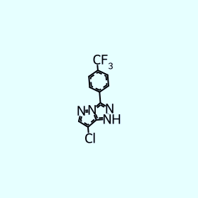 FC(F)(F)c1ccc(-c2n[nH]c3c(Cl)cnn23)cc1